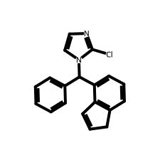 Clc1nccn1C(c1ccccc1)c1cccc2c1C=CC2